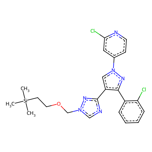 C[Si](C)(C)CCOCn1cnc(-c2cn(-c3ccnc(Cl)c3)nc2-c2ccccc2Cl)n1